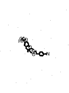 C=C1Cc2cc(NS(C)(=O)=O)ccc2OC12CC[N+]([O-])(CCc1ccc(C#N)cc1)CC2